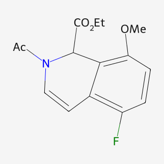 CCOC(=O)C1c2c(OC)ccc(F)c2C=CN1C(C)=O